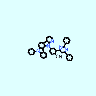 N#Cc1ccc(-n2c3ncccc3c3ccc4c(c5ccccc5n4-c4ccccc4)c32)cc1-c1cc(-c2ccccc2)nc(-c2ccccc2)n1